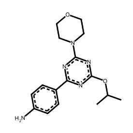 CC(C)Oc1nc(-c2ccc(N)cc2)nc(N2CCOCC2)n1